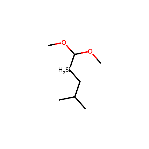 COC(OC)[SiH2]CC(C)C